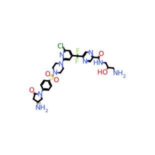 NCC(O)CNC(=O)c1cnc(C(F)(F)c2cc(Cl)nc(N3CCN(S(=O)(=O)c4ccc(N5C[C@H](N)CC5=O)cc4)CC3)c2)cn1